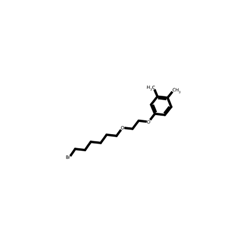 Cc1ccc(OCCOCCCCCCBr)cc1C